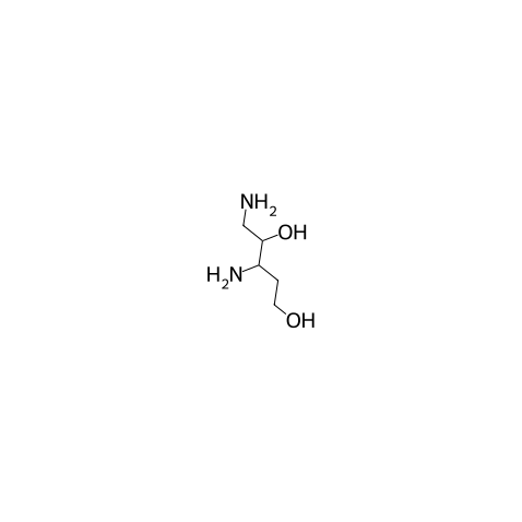 NCC(O)C(N)CCO